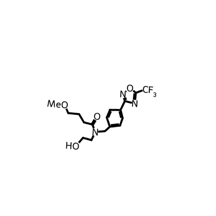 COCCCC(=O)N(CCO)Cc1ccc(-c2noc(C(F)(F)F)n2)cc1